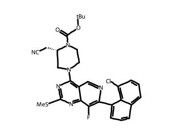 CSc1nc(N2CCN(C(=O)OC(C)(C)C)[C@@H](CC#N)C2)c2cnc(-c3cccc4cccc(Cl)c34)c(F)c2n1